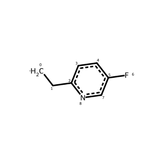 [CH2]Cc1ccc(F)cn1